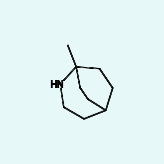 CC12CCC(CCN1)CC2